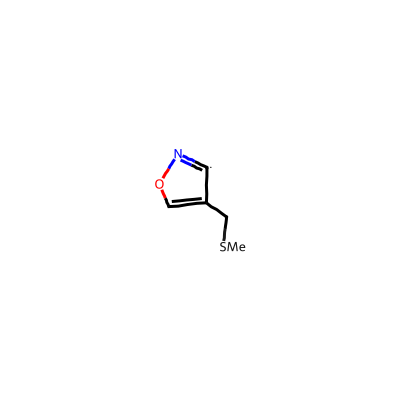 CSCc1[c]noc1